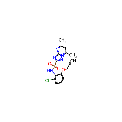 C#CCOc1cccc(Cl)c1NS(=O)(=O)c1nc2nc(C)cc(C)n2n1